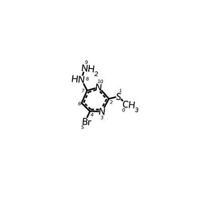 CSc1nc(Br)cc(NN)n1